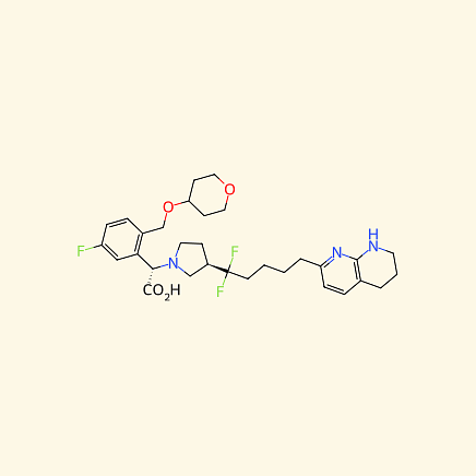 O=C(O)[C@H](c1cc(F)ccc1COC1CCOCC1)N1CC[C@@H](C(F)(F)CCCCc2ccc3c(n2)NCCC3)C1